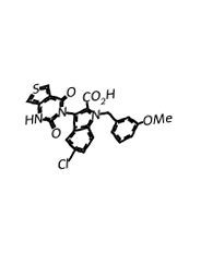 COc1cccc(Cn2c(C(=O)O)c(-n3c(=O)[nH]c4cscc4c3=O)c3cc(Cl)ccc32)c1